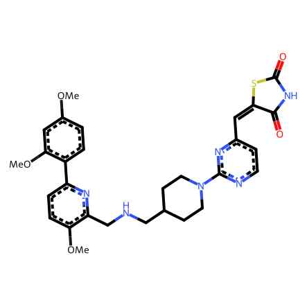 COc1ccc(-c2ccc(OC)c(CNCC3CCN(c4nccc(/C=C5/SC(=O)NC5=O)n4)CC3)n2)c(OC)c1